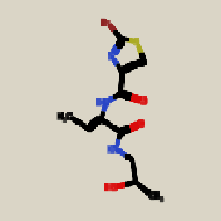 C/C=C(\NC(=O)c1csc(Br)n1)C(=O)NC[C@@H](C)O